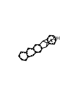 CC(C)(O)C1C2c3ccccc3C1c1cc3cc4ccccc4cc3cc12